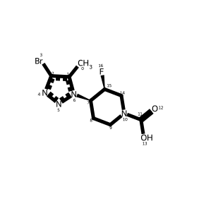 Cc1c(Br)nnn1[C@@H]1CCN(C(=O)O)C[C@@H]1F